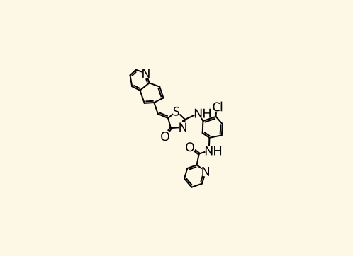 O=C1N=C(Nc2cc(NC(=O)c3ccccn3)ccc2Cl)S/C1=C\c1ccc2ncccc2c1